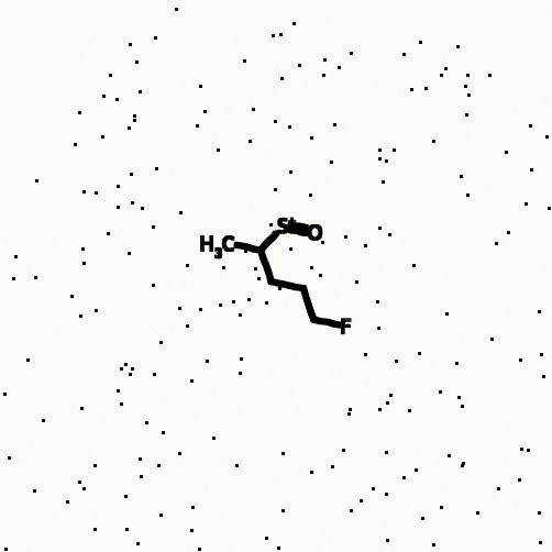 CC(CCCF)[S+]=O